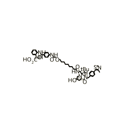 Cc1ncsc1-c1ccc(CNC(=O)[C@@H]2C[C@@H](O)CN2C(=O)C(NC(=O)CCCCCCCCOCC(=O)Nc2ccc(C(=O)Nc3ccccc3NC(=O)O)cc2)C(C)(C)C)cc1